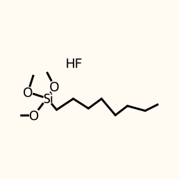 CCCCCCCC[Si](OC)(OC)OC.F